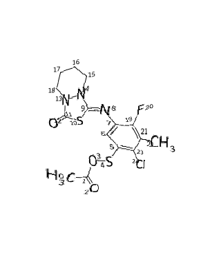 CC(=O)OSc1cc(N=c2sc(=O)n3n2CCCC3)c(F)c(C)c1Cl